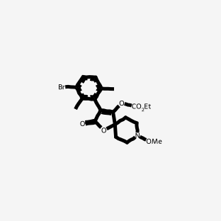 CCOC(=O)OC1=C(c2c(C)ccc(Br)c2C)C(=O)OC12CCN(OC)CC2